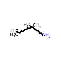 C=C(C)CCCCCCC/C(C)=C(/C)CCCCCCCN